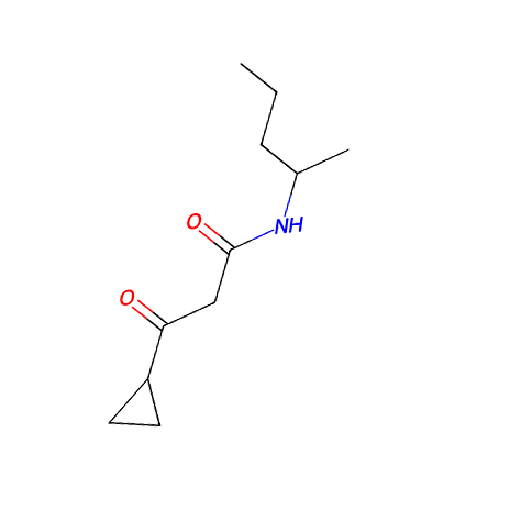 CCCC(C)NC(=O)CC(=O)C1CC1